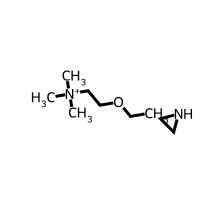 C1CN1.CCOCC[N+](C)(C)C